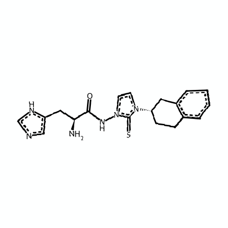 N[C@@H](Cc1cnc[nH]1)C(=O)Nn1ccn([C@H]2CCc3ccccc3C2)c1=S